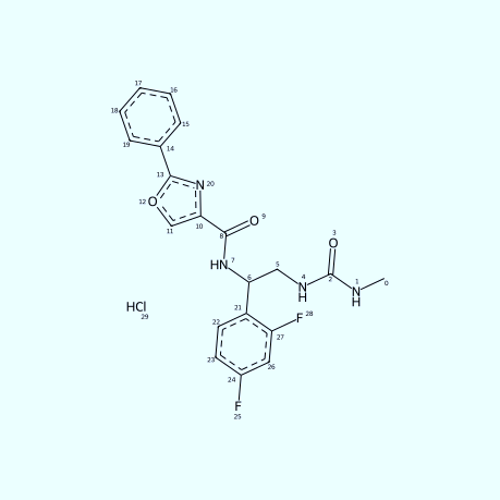 CNC(=O)NCC(NC(=O)c1coc(-c2ccccc2)n1)c1ccc(F)cc1F.Cl